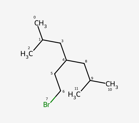 CC(C)CC(CCBr)CC(C)C